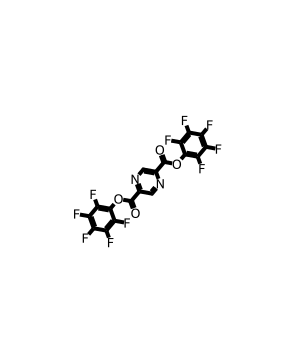 O=C(Oc1c(F)c(F)c(F)c(F)c1F)c1cnc(C(=O)Oc2c(F)c(F)c(F)c(F)c2F)cn1